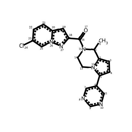 CC1c2ccc(-c3cncnc3)n2CCN1C(=O)c1cc2ccc(Cl)cn2n1